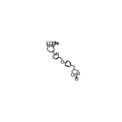 CC(C)(C)[C@H]1C[C@@H](c2nc(COc3ccc(CC4COS(=O)OC4)cc3)cs2)CCN1C(=O)O